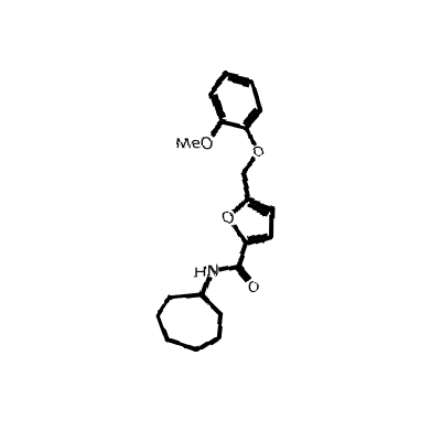 COc1ccccc1OCc1ccc(C(=O)NC2CCCCCC2)o1